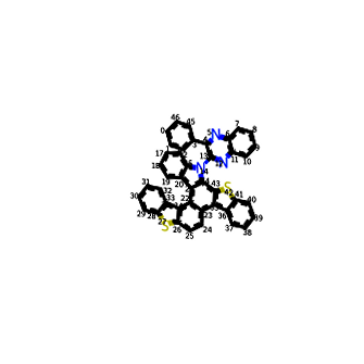 c1ccc(-c2nc3ccccc3nc2-n2c3ccccc3c3c4c(ccc5sc6ccccc6c54)c4c5ccccc5sc4c32)cc1